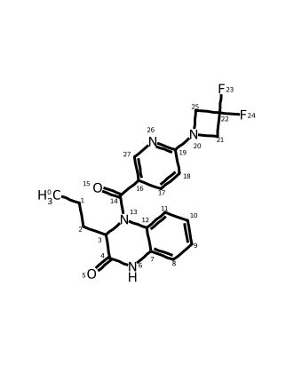 CCCC1C(=O)Nc2ccccc2N1C(=O)c1ccc(N2CC(F)(F)C2)nc1